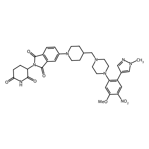 COc1cc(N2CCN(CC3CCN(c4ccc5c(c4)C(=O)N(C4CCC(=O)NC4=O)C5=O)CC3)CC2)c(-c2cnn(C)c2)cc1[N+](=O)[O-]